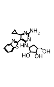 Nc1nc(N[C@@H]2C[C@H](CO)[C@@H](O)[C@H]2O)c(-c2nc3ccccc3s2)c(C2CC2)n1